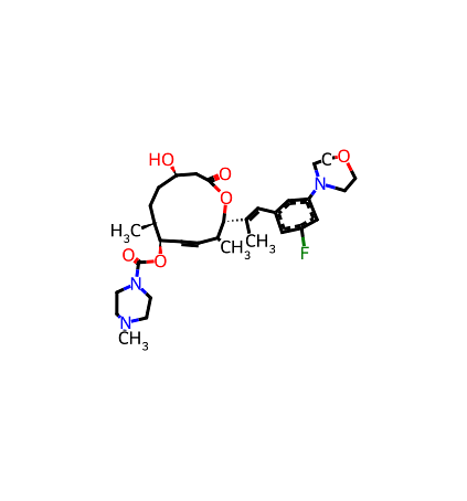 C/C(=C\c1cc(F)cc(N2CCOCC2)c1)[C@H]1OC(=O)C[C@H](O)CC[C@H](C)[C@H](OC(=O)N2CCN(C)CC2)/C=C/[C@@H]1C